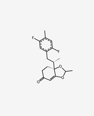 Cc1cc(F)c(C[C@H](C)[C@]23CCC(=O)C=C2OC(C)O3)cc1F